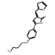 CCCCOc1ccc(C2=CC(=Cc3cccs3)C(=O)N2)cc1